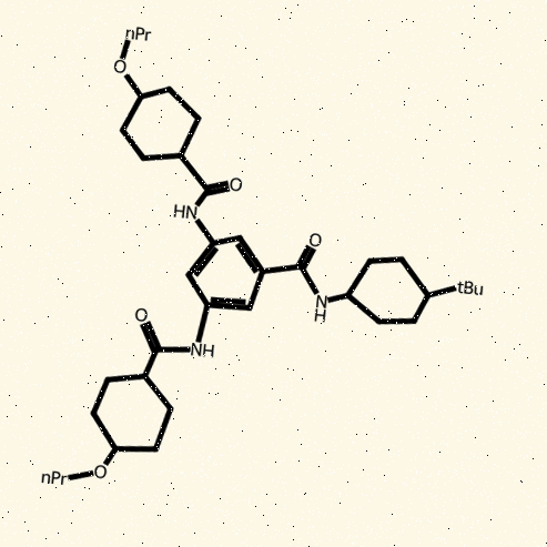 CCCOC1CCC(C(=O)Nc2cc(NC(=O)C3CCC(OCCC)CC3)cc(C(=O)NC3CCC(C(C)(C)C)CC3)c2)CC1